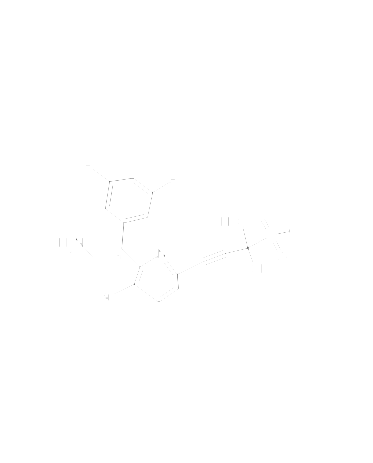 CC(C)(C#Cc1ccc(Br)c([C@H](CN)c2cc(F)cc(F)c2)n1)S(C)(=O)=O